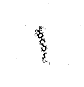 CCCCC[C@H]1CC[C@H]([C@H]2CC[C@H](C3CCC(C(=O)OC)C(=O)C3)CC2)CC1